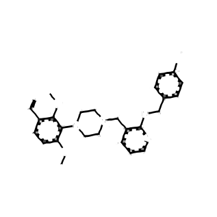 COc1ccc(C=O)c(OC)c1N1CCN(Cc2cccnc2NCc2ccc(Cl)cc2)CC1